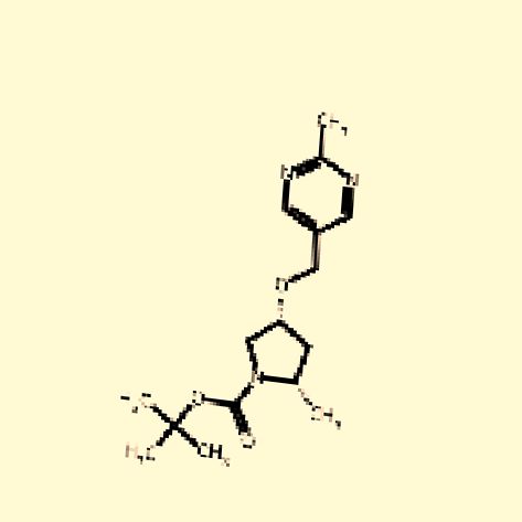 Cc1ncc(CO[C@@H]2C[C@H](C)N(C(=O)OC(C)(C)C)C2)cn1